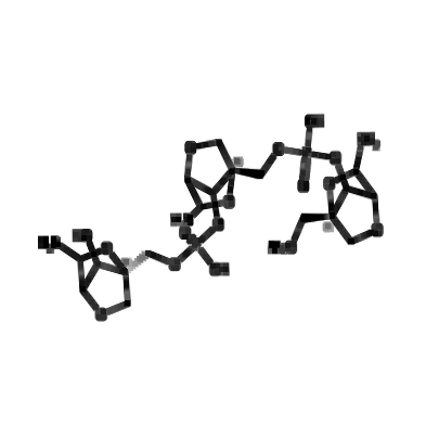 BC1O[C@@]2(COP(=O)(O)OC3C4OC[C@]3(COP(=O)(O)OC3C5OC[C@]3(COC)OC5B)OC4B)COC1C2O